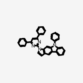 c1ccc(-c2cc(-c3ccccc3)nc(-n3ccc4cc5c6ccccc6n(-c6ccccc6)c5cc43)n2)cc1